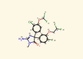 CN1C(=O)C(c2ccc(OC(F)F)c(Cl)c2)(c2ccc(F)c(OCC(F)F)c2)N=C1N